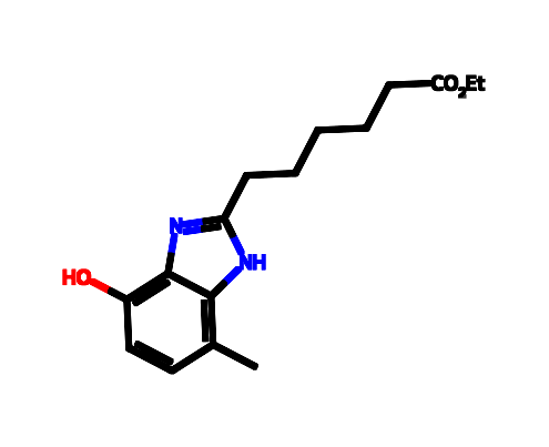 CCOC(=O)CCCCCc1nc2c(O)ccc(C)c2[nH]1